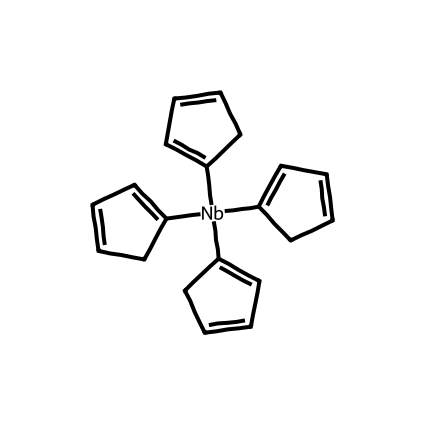 C1=CC[C]([Nb]([C]2=CC=CC2)([C]2=CC=CC2)[C]2=CC=CC2)=C1